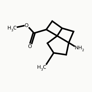 COC(=O)C1CC2CC3(N)CC(C)CC213